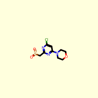 O=[SH](=O)Cc1nc(Cl)cc(N2CCOCC2)n1